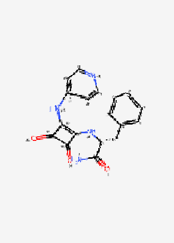 NC(=O)[C@@H](Cc1ccccc1)Nc1c(Nc2ccncc2)c(=O)c1=O